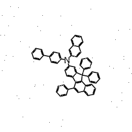 c1ccc(-c2ccc(N(c3ccc4c(c3)C(c3ccccc3)(c3ccccc3)c3c-4c(-c4ccccc4)cc4ccccc34)c3ccc4ccccc4c3)cc2)cc1